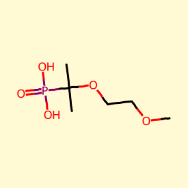 COCCOC(C)(C)P(=O)(O)O